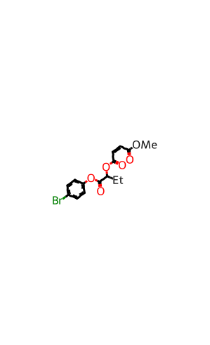 CCC(OC(=O)/C=C\C(=O)OC)C(=O)Oc1ccc(Br)cc1